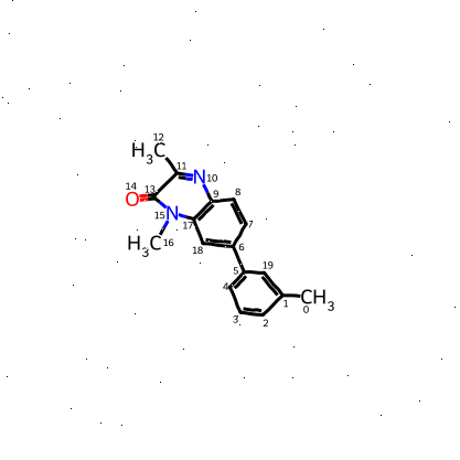 Cc1cccc(-c2ccc3nc(C)c(=O)n(C)c3c2)c1